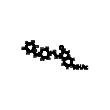 CC(=O)Nc1ccc2c(c1)CC(=O)N2CCN1CCN(Cc2ccccc2)CC1